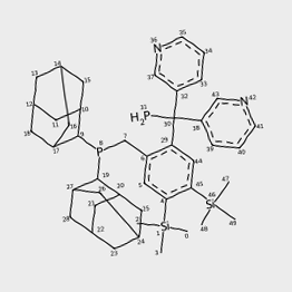 C[Si](C)(C)c1cc(CP(C2C3CC4CC(C3)CC2C4)C2C3CC4CC(C3)CC2C4)c(C(P)(c2cccnc2)c2cccnc2)cc1[Si](C)(C)C